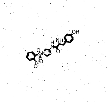 N[C@@H](Cc1ccc(O)cc1)C(=O)N[C@H]1CCN(S(=O)(=O)c2ccccc2[N+](=O)[O-])C1